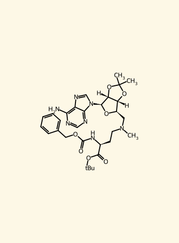 CN(CC[C@H](NC(=O)OCc1ccccc1)C(=O)OC(C)(C)C)C[C@H]1O[C@@H](n2cnc3c(N)ncnc32)[C@@H]2OC(C)(C)O[C@@H]21